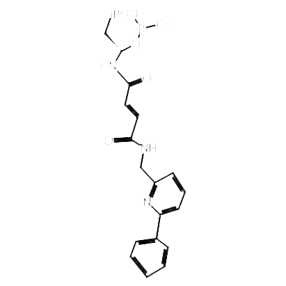 CC(C)C[C@H](NC(=O)/C=C/C(=O)NCc1cccc(-c2ccccc2)n1)OB(O)O